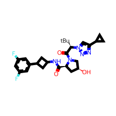 CC(C)(C)[C@@H](C(=O)N1C[C@H](O)C[C@H]1C(=O)NC1CC(c2cc(F)cc(F)c2)C1)n1cc(C2CC2)nn1